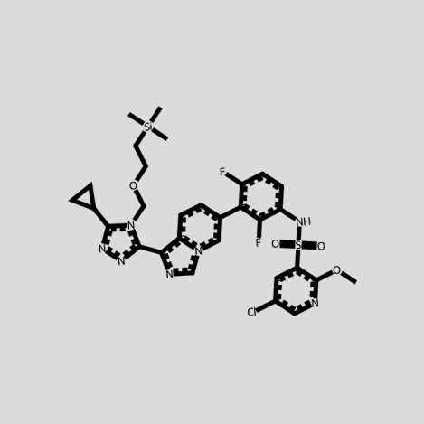 COc1ncc(Cl)cc1S(=O)(=O)Nc1ccc(F)c(-c2ccc3c(-c4nnc(C5CC5)n4COCC[Si](C)(C)C)ncn3c2)c1F